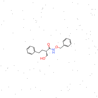 O=C(NOCc1ccccc1)[C@@H](CO)CCc1ccccc1